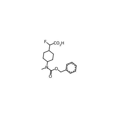 CN(C(=O)OCc1ccccc1)C1CCC(C(F)C(=O)O)CC1